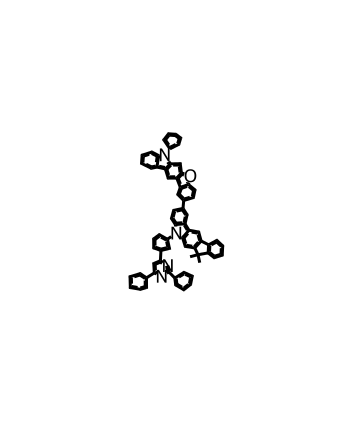 CC1(C)c2ccccc2-c2cc3c4cc(-c5ccc6oc7cc8c(cc7c6c5)c5ccccc5n8-c5ccccc5)ccc4n(-c4cccc(-c5cc(-c6ccccc6)nc(-c6ccccc6)n5)c4)c3cc21